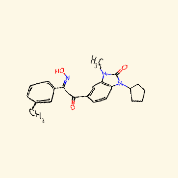 Cc1cccc(C(=NO)C(=O)c2ccc3c(c2)n(C)c(=O)n3C2CCCC2)c1